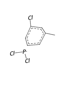 Cc1cccc(Cl)c1.Cl[P]Cl